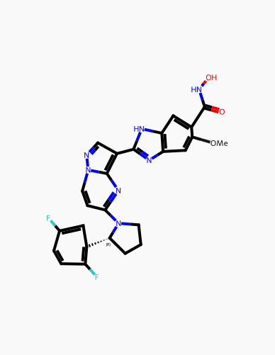 COc1cc2nc(-c3cnn4ccc(N5CCC[C@@H]5c5cc(F)ccc5F)nc34)[nH]c2cc1C(=O)NO